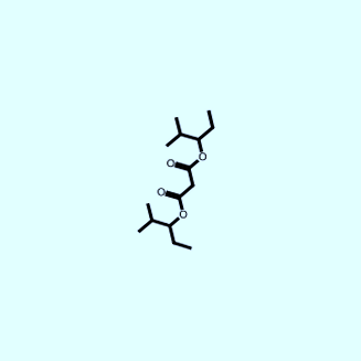 CCC(OC(=O)CC(=O)OC(CC)C(C)C)C(C)C